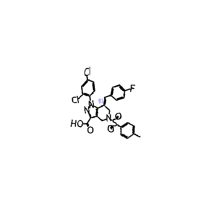 Cc1ccc(S(=O)(=O)N2C/C(=C\c3ccc(F)cc3)c3c(c(C(=O)O)nn3-c3ccc(Cl)cc3Cl)C2)cc1